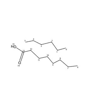 CCCCCC.CCCCCCCC(=O)O